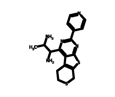 CC(N)C(N)c1nc(-c2ccncc2)nc2sc3c(c12)CCSC3